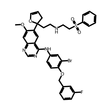 COc1cc2ncnc(Nc3ccc(OCc4cccc(F)c4)c(Br)c3)c2cc1C1(CCNCCS(=O)(=O)c2ccccc2)CC=CO1